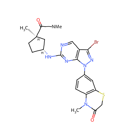 CNC(=O)[C@]1(C)CC[C@@H](Nc2ncc3c(Br)nn(-c4ccc5c(c4)SCC(=O)N5C)c3n2)C1